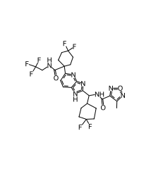 Cc1nonc1C(=O)NC(c1nc2nc(C3(C(=O)NCC(F)(F)F)CCC(F)(F)CC3)ccc2[nH]1)C1CCC(F)(F)CC1